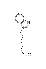 CCCCCCCCCCCCCn1cnc2ccccc21